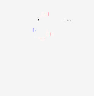 CCCCCCCCCCCCC(O)[C@H](CO)NC(=O)CCCCCc1ccccc1